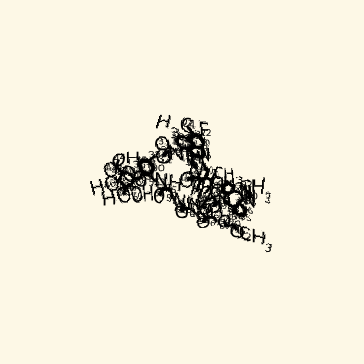 CCC1(O)C(=O)OCc2c1cc1n(c2=O)Cc2c-1nc1cc(F)c(C)c3c1c2C(NC(=O)OCc1ccc(OC2OC(C(=O)O)C(O)C(O)C2O)c(CNC(=O)CCNC(=O)C(CNC(=O)CCOCCOC)NC(=O)CCC(=O)N2Cc4ccccc4-c4nnn(C)c4-c4ccccc42)c1)CC3